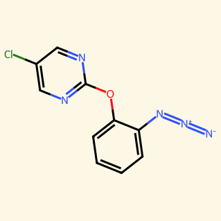 [N-]=[N+]=Nc1ccccc1Oc1ncc(Cl)cn1